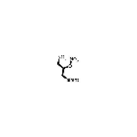 CCCCCCC(C[N+](=O)[O-])O[N+](=O)[O-]